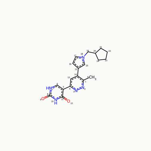 Cc1nnc(-c2c[nH]c(=O)[nH]c2=O)cc1-c1ccn(CC2CCCC2)c1